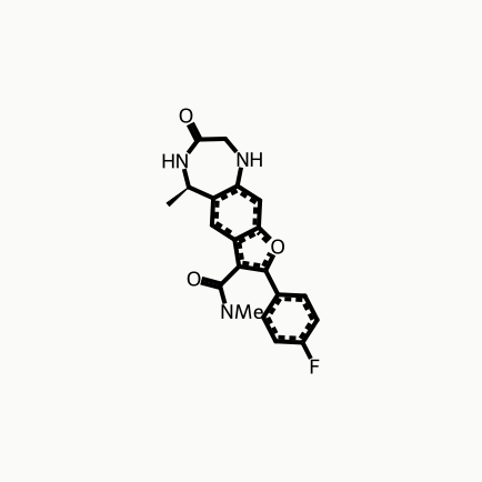 CNC(=O)c1c(-c2ccc(F)cc2)oc2cc3c(cc12)[C@@H](C)NC(=O)CN3